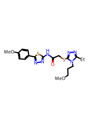 CCc1nnc(SCC(=O)Nc2nnc(-c3ccc(OC)cc3)s2)n1CCCOC